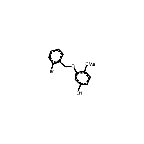 COc1ccc(C#N)cc1OCc1ccccc1Br